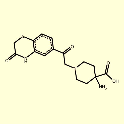 NC1(C(=O)O)CCN(CC(=O)c2ccc3c(c2)NC(=O)CS3)CC1